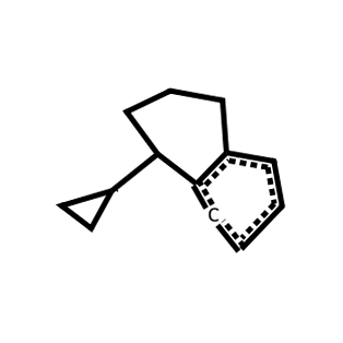 c1ccc2c(c1)CCCC2[C]1CC1